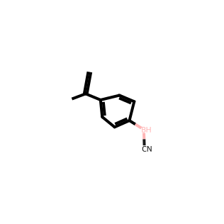 C=C(C)c1ccc(BC#N)cc1